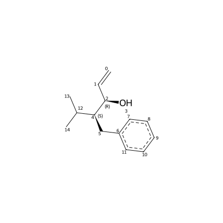 C=C[C@@H](O)[C@@H](Cc1ccccc1)C(C)C